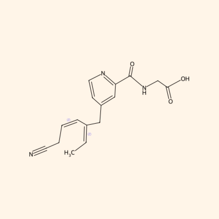 C/C=C(\C=C/CC#N)Cc1ccnc(C(=O)NCC(=O)O)c1